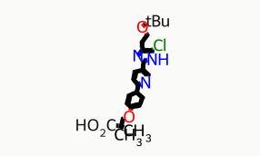 CC(C)(C)OCCc1nc(-c2ccc(C3C=CC(OCC(C)(C)C(=O)O)=CC3)nc2)[nH]c1Cl